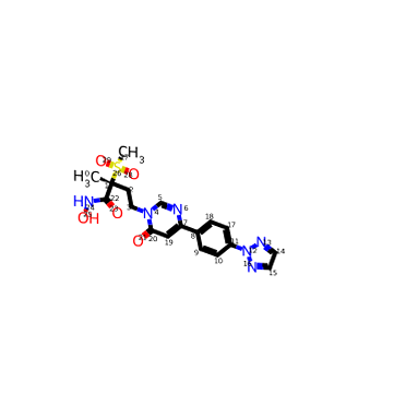 C[C@@](CCn1cnc(-c2ccc(-n3nccn3)cc2)cc1=O)(C(=O)NO)S(C)(=O)=O